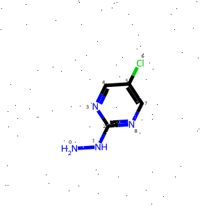 NNc1ncc(Cl)cn1